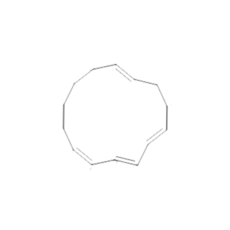 [CH]1/C=C/CC/C=C/C=C/C=C\CCC1